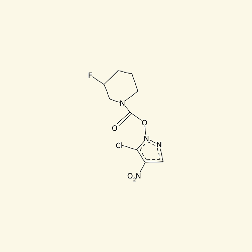 O=C(On1ncc([N+](=O)[O-])c1Cl)N1CCCC(F)C1